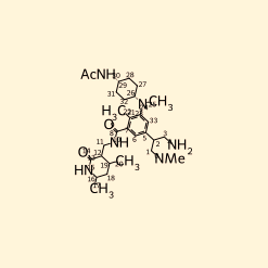 CNCC(CN)c1cc(C(=O)NCC2C(=O)NC(C)CC2C)c(C)c(N(C)[C@H]2CC[C@@H](NC(C)=O)CC2)c1